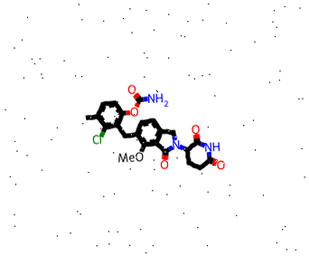 COc1c(Cc2c(OC(N)=O)ccc(C)c2Cl)ccc2c1C(=O)N(C1CCC(=O)NC1=O)C2